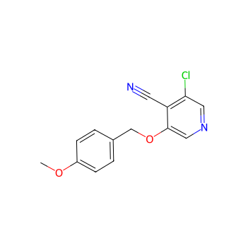 COc1ccc(COc2cncc(Cl)c2C#N)cc1